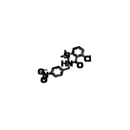 C[Si](C)(C)c1cccc(Cl)c1C(=O)NCc1ccc([N+](=O)[O-])cc1